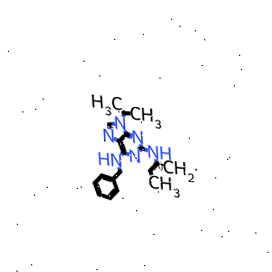 [CH2][C@H](CC)Nc1nc(NCc2ccccc2)c2ncn(C(C)C)c2n1